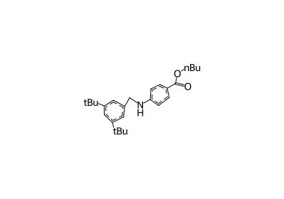 CCCCOC(=O)c1ccc(NCc2cc(C(C)(C)C)cc(C(C)(C)C)c2)cc1